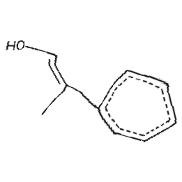 C/C(=C\O)c1ccccc1